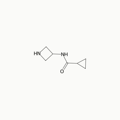 O=C(NC1CNC1)C1CC1